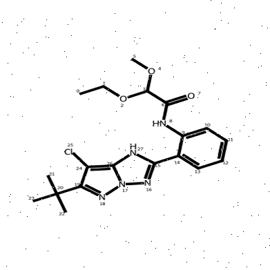 CCOC(OC)C(=O)Nc1ccccc1-c1nn2nc(C(C)(C)C)c(Cl)c2[nH]1